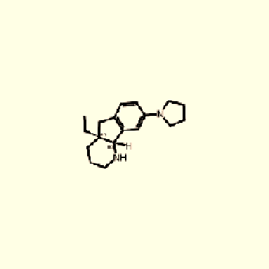 CC[C@]12CCCN[C@H]1c1cc(N3CCCC3)ccc1C2